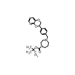 CC(C)(C)OC(=O)N1CCCN(Cc2ccc(C3COc4cccnc4O3)cc2)CC1